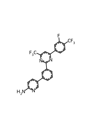 Nc1ccc(-c2cccc(-c3nc(-c4ccc(C(F)(F)F)c(F)c4)cc(C(F)(F)F)n3)c2)cn1